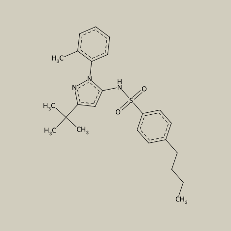 CCCCc1ccc(S(=O)(=O)Nc2cc(C(C)(C)C)nn2-c2ccccc2C)cc1